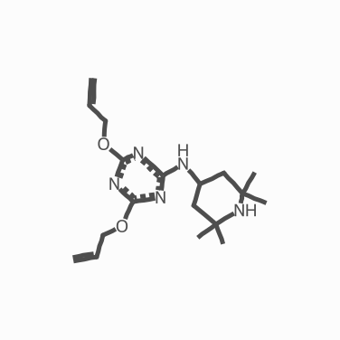 C=CCOc1nc(NC2CC(C)(C)NC(C)(C)C2)nc(OCC=C)n1